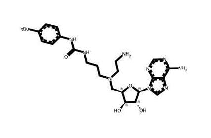 CC(C)(C)c1ccc(NC(=O)NCCCN(CCN)C[C@H]2O[C@@H](n3cnc4c(N)ncnc43)[C@H](O)[C@H]2O)cc1